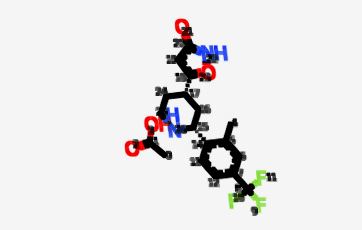 CC(=O)O.Cc1cc(C(F)(F)F)ccc1[C@H]1C[C@@H](c2cc(=O)[nH]o2)CCN1